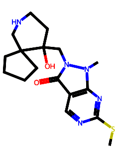 CSc1ncc2c(=O)n(CC3(O)CCNCC34CCCC4)n(C)c2n1